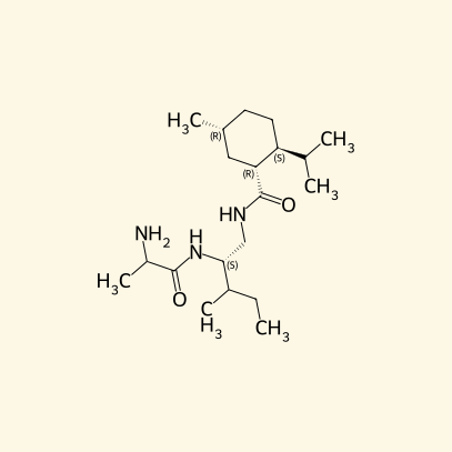 CCC(C)[C@@H](CNC(=O)[C@@H]1C[C@H](C)CC[C@H]1C(C)C)NC(=O)C(C)N